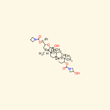 CC(C)[C@@H](OC(=O)N1CCC1)C1C[C@@H](C)[C@H]2C(O1)[C@H](O)[C@@]1(C)C3CC[C@H]4C(C)(C)C(OC(=O)N5CC(O)C5)CC[C@@]45C[C@@]35CC[C@]21C